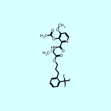 COc1ccnc(C(=O)N[C@@H](C)C(=O)OCCCc2ccccc2C(F)(F)F)c1OC(C)=O